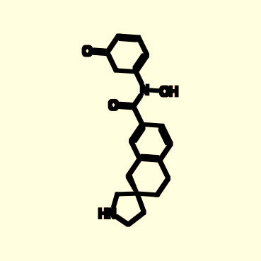 O=C1C=CC=C(N(O)C(=O)c2ccc3c(c2)C[C@]2(CCNC2)CC3)C1